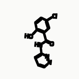 O=C(Nc1cccnn1)c1cc(Cl)ccc1O